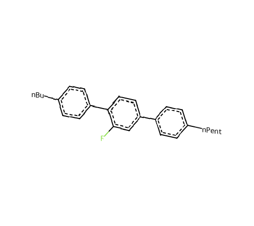 CCCCCc1ccc(-c2ccc(-c3ccc(CCCC)cc3)c(F)c2)cc1